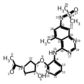 CC(=O)N1C[C@@H](O)[C@H](Oc2ncccc2Nc2ncnc3cc(N=S(C)(C)=O)cc(C)c23)C1